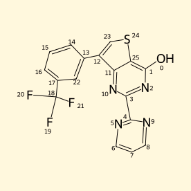 Oc1nc(-c2ncccn2)nc2c(-c3cccc(C(F)(F)F)c3)csc12